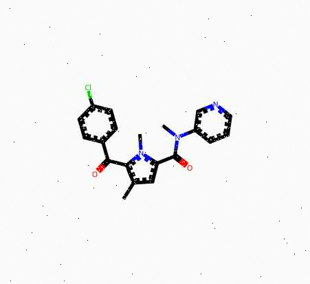 Cc1cc(C(=O)N(C)c2cccnc2)n(C)c1C(=O)c1ccc(Cl)cc1